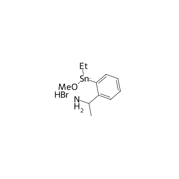 Br.C[CH2][Sn]([O]C)[c]1ccccc1C(C)N